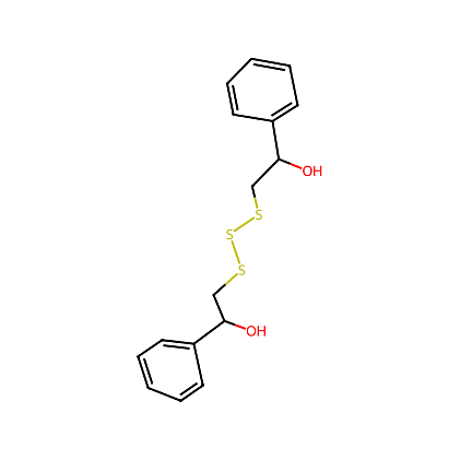 OC(CSSSCC(O)c1ccccc1)c1ccccc1